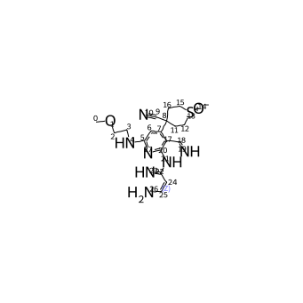 COCCNc1cc(C2(C#N)CC[S+]([O-])CC2)c(C=N)c(NC(=N)/C=C\N)n1